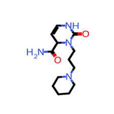 NC(=O)C1C=CNC(=O)N1CCCN1CCCCC1